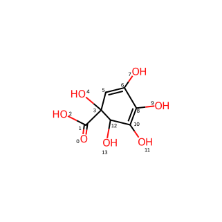 O=C(O)C1(O)C=C(O)C(O)=C(O)C1O